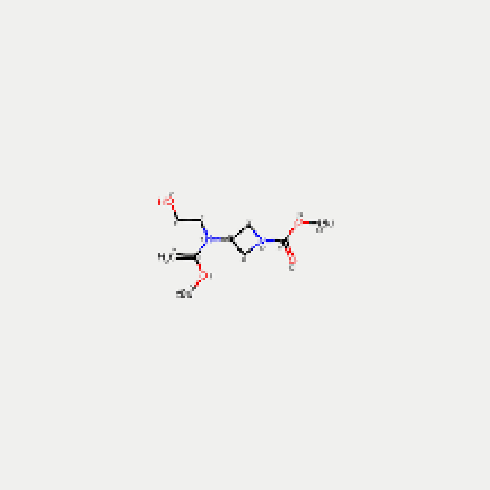 C=C(OC(C)(C)C)N(CCO)C1CN(C(=O)OC(C)(C)C)C1